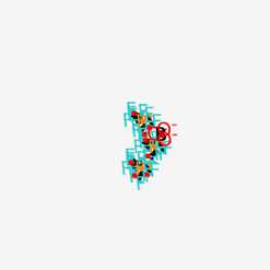 FC(F)=C(F)[P+](C(F)=C(F)F)(C(F)=C(F)F)C(F)=C(F)F.FC(F)=C(F)[P+](C(F)=C(F)F)(C(F)=C(F)F)C(F)=C(F)F.FC(F)=C(F)[P+](C(F)=C(F)F)(C(F)=C(F)F)C(F)=C(F)F.[O-]B([O-])[O-]